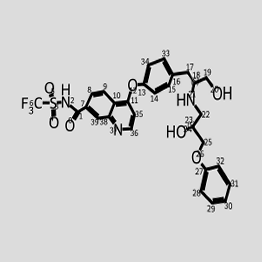 O=C(NS(=O)(=O)C(F)(F)F)c1ccc2c(Oc3ccc(C[C@@H](CO)NC[C@H](O)COc4ccccc4)cc3)ccnc2c1